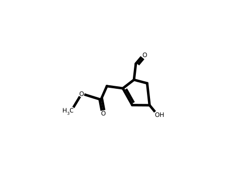 COC(=O)CC1=CC(O)CC1C=O